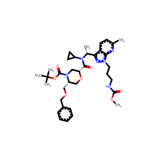 COC(=O)NCCCn1nc([C@@H](C)N(C(=O)[C@H]2CN(C(=O)OC(C)(C)C)[C@@H](COCc3ccccc3)CO2)C2CC2)c2ccc(C)nc21